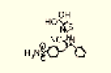 N#Cc1c(Cc2ccc(S(N)(=O)=O)cc2)c(-c2ccccc2)nn1-c1nc(C(O)O)cs1